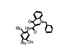 CC(C)(C)c1cc(C(C)(C)C)c(NC(=O)c2cn(Cc3ccccc3)c3ccccc3c2=O)cc1O